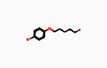 Brc1ccc(OCCCCCI)cc1